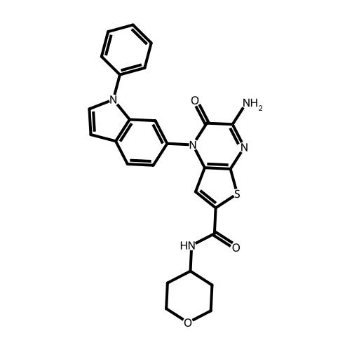 Nc1nc2sc(C(=O)NC3CCOCC3)cc2n(-c2ccc3ccn(-c4ccccc4)c3c2)c1=O